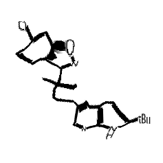 CC(C)(C)c1cc2cc(CC(C)(C)c3noc4cc(Cl)ccc34)cnc2[nH]1